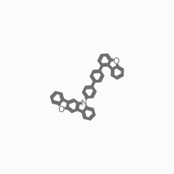 c1ccc2c(c1)oc1cc3c4ccccc4n(-c4ccc(-c5ccc(-c6cccc7oc8ccccc8c67)cc5)cc4)c3cc12